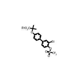 CCOC(=O)C(C)(C)Oc1ccc(-c2ccc(OS(=O)(=O)C(F)(F)F)c(CC)c2)cc1